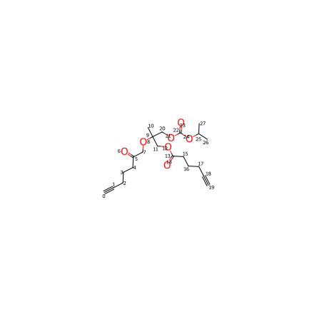 C#CCCCC(=O)COC(C)(COC(=O)CCCC#C)COC(=O)OC(C)C